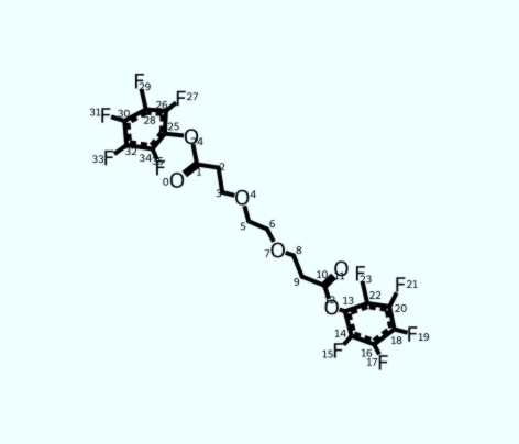 O=C(CCOCCOCCC(=O)Oc1c(F)c(F)c(F)c(F)c1F)Oc1c(F)c(F)c(F)c(F)c1F